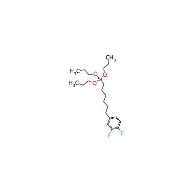 CCCO[Si](CCCCCCc1ccc(F)c(F)c1)(OCCC)OCCC